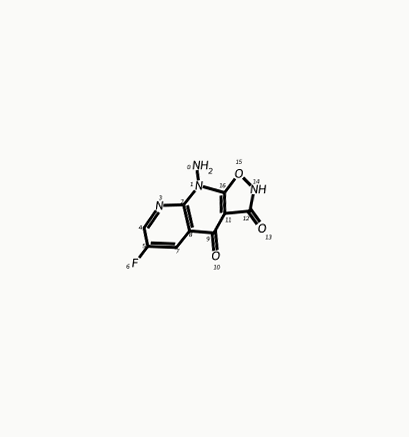 Nn1c2ncc(F)cc2c(=O)c2c(=O)[nH]oc21